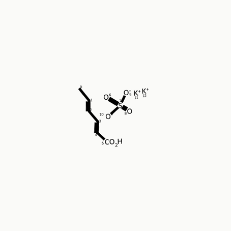 C/C=C/C=C/C(=O)O.O=S(=O)([O-])[O-].[K+].[K+]